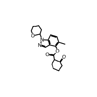 Cc1ccc2c(cnn2C2CCCCO2)c1OC(=O)C1CCCCC1=O